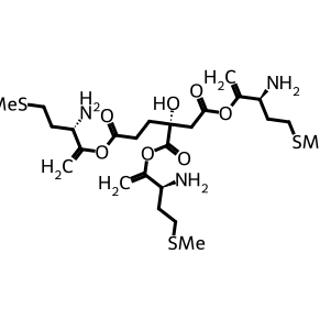 C=C(OC(=O)CC[C@@](O)(CC(=O)OC(=C)[C@@H](N)CCSC)C(=O)OC(=C)[C@@H](N)CCSC)[C@@H](N)CCSC